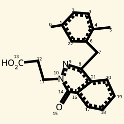 Cc1ccc(C)c(Cc2nn(CCC(=O)O)c(=O)c3ccccc23)c1